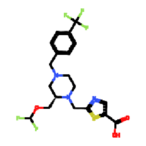 O=C(O)c1cnc(CN2CCN(Cc3ccc(C(F)(F)F)cc3)C[C@H]2COC(F)F)s1